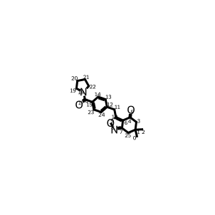 CC1(C)CC(=O)c2c(noc2Cc2ccc(C(=O)N3CCCC3)cc2)C1